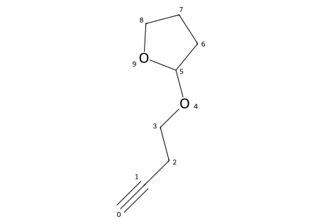 C#CCCOC1CCCO1